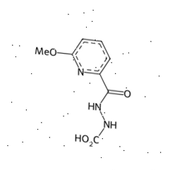 COc1cccc(C(=O)NNC(=O)O)n1